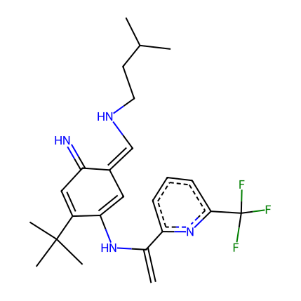 C=C(NC1=C/C(=C/NCCC(C)C)C(=N)C=C1C(C)(C)C)c1cccc(C(F)(F)F)n1